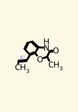 C/C=C/c1cccc2c1OC(C)C(=O)N2